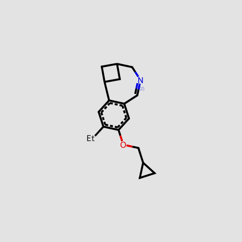 CCc1cc2c(cc1OCC1CC1)/C=N\CC1CC2C1